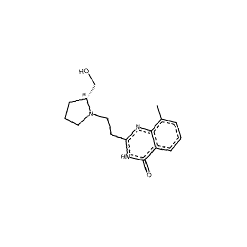 Cc1cccc2c(=O)[nH]c(CCN3CCC[C@@H]3CO)nc12